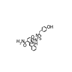 CC1(C(=O)Nc2nc(Cc3ccc(O)cc3)cs2)CC2c3ccccc3C1c1cccc(C(N)=O)c12